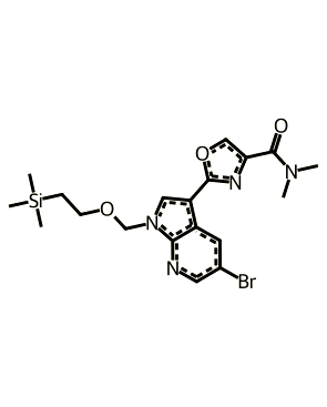 CN(C)C(=O)c1coc(-c2cn(COCC[Si](C)(C)C)c3ncc(Br)cc23)n1